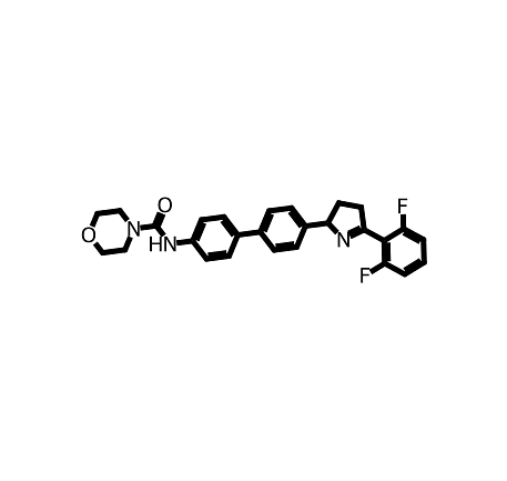 O=C(Nc1ccc(-c2ccc(C3CCC(c4c(F)cccc4F)=N3)cc2)cc1)N1CCOCC1